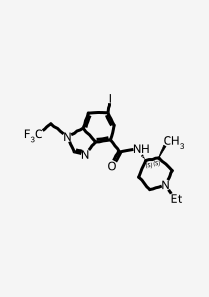 CCN1CC[C@H](NC(=O)c2cc(I)cc3c2ncn3CC(F)(F)F)[C@@H](C)C1